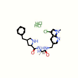 C[C@H](NC(=O)C1CC(Cc2ccccc2)CN1)C(=O)NCc1cnc2c(c1)c(Cl)cn2C.Cl.Cl